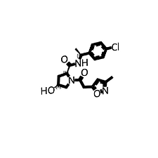 Cc1cc(CC(=O)N2C[C@H](O)C[C@H]2C(=O)N[C@@H](C)c2ccc(Cl)cc2)on1